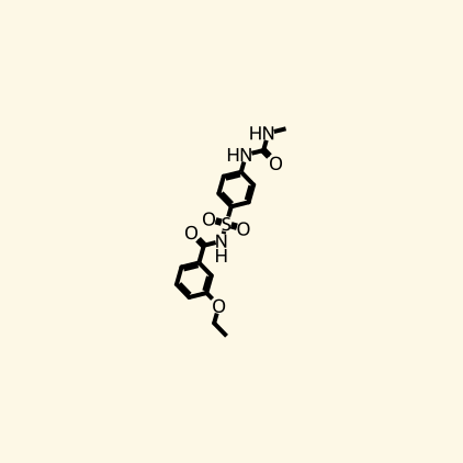 CCOc1cccc(C(=O)NS(=O)(=O)c2ccc(NC(=O)NC)cc2)c1